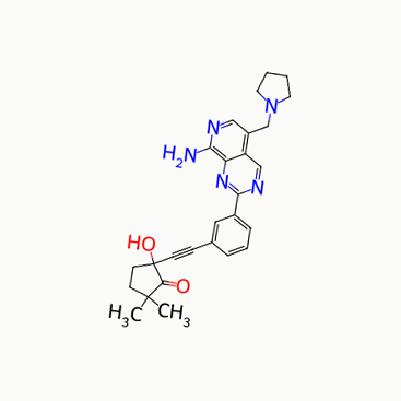 CC1(C)CCC(O)(C#Cc2cccc(-c3ncc4c(CN5CCCC5)cnc(N)c4n3)c2)C1=O